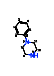 [c]1ccccc1N1CCNCC1